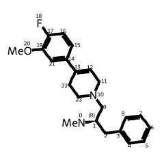 CN[C@H](Cc1ccccc1)CN1CC=C(c2ccc(F)c(OC)c2)CC1